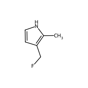 Cc1[nH]ccc1CF